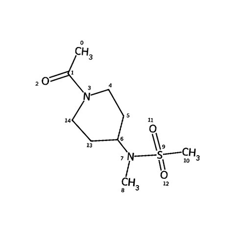 CC(=O)N1CCC(N(C)S(C)(=O)=O)CC1